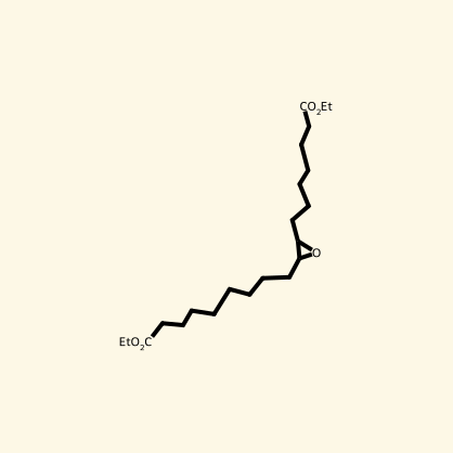 CCOC(=O)CCCCCCCCC1OC1CCCCCCC(=O)OCC